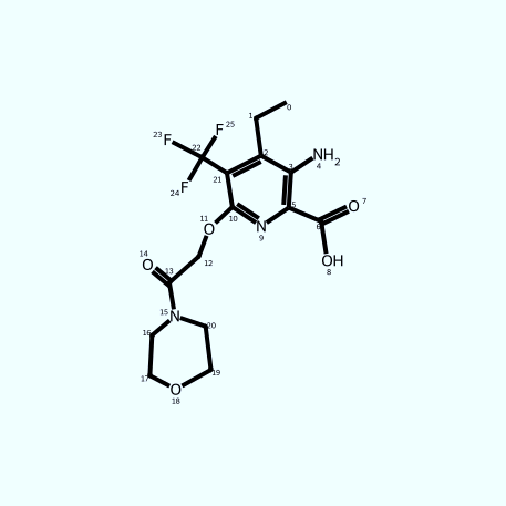 CCc1c(N)c(C(=O)O)nc(OCC(=O)N2CCOCC2)c1C(F)(F)F